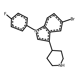 Fc1ccc(-n2cc(C3CCNCC3)c3cc(Br)ccc32)cc1